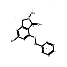 CC(C)(C)N1Cc2cc(Br)cc(SCc3ccccc3)c2C1=O